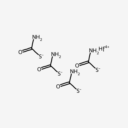 NC(=O)[S-].NC(=O)[S-].NC(=O)[S-].NC(=O)[S-].[Hf+4]